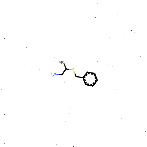 N#CC(CN)SCc1ccccc1